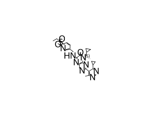 CCS(=O)(=O)c1ccc(CNc2nc3cnc(-c4c(C)ncnc4C4CC4)nc3n([C@@H](C)C3CC3)c2=O)cn1